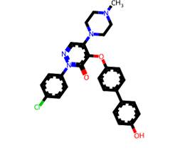 CN1CCN(c2cnn(-c3ccc(Cl)cc3)c(=O)c2Oc2ccc(-c3ccc(O)cc3)cc2)CC1